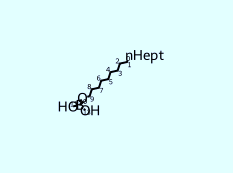 CCCCCCCCCCCCCCCCOB(O)O